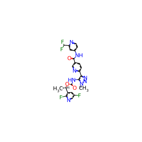 C[C@@H](OC(=O)Nc1c(-c2ccc(C(=O)Nc3ccnc(C(F)F)c3)cn2)nnn1C)c1cc(F)cnc1F